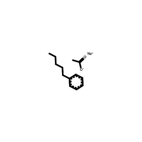 CC(=O)[O-].CCCCCc1ccccc1.[Na+]